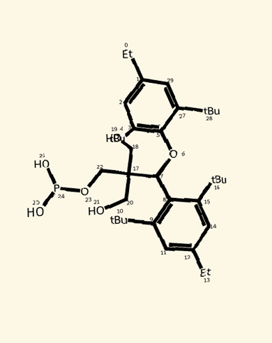 CCc1cc(C(C)(C)C)c(OC(c2c(C(C)(C)C)cc(CC)cc2C(C)(C)C)C(CO)(CO)COP(O)O)c(C(C)(C)C)c1